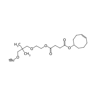 CC(C)(COCCOC(=O)CCC(=O)OC1CC/C=C\CCC1)COC(C)(C)C